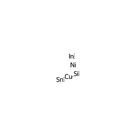 [Cu].[In].[Ni].[Si].[Sn]